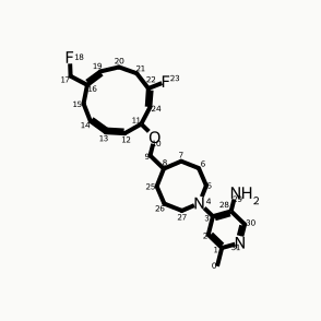 Cc1cc(N2CCCC(COC3C=C=CC/C(CF)=C\CCC(F)=C3)CCC2)c(N)cn1